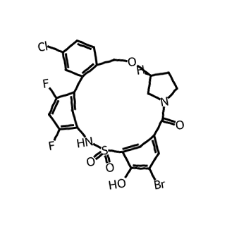 O=C1c2cc(Br)c(O)c(c2)S(=O)(=O)Nc2cc(c(F)cc2F)-c2cc(Cl)ccc2CO[C@@H]2CCN1C2